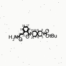 CC(C)(C)OC(=O)N1CCC2(CC1)CCN(C(=O)c1ccccc1/C=C/C(N)=O)CC2